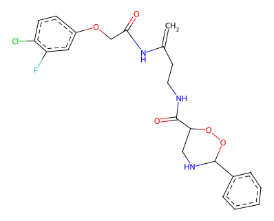 C=C(CCNC(=O)C1CNC(c2ccccc2)OO1)NC(=O)COc1ccc(Cl)c(F)c1